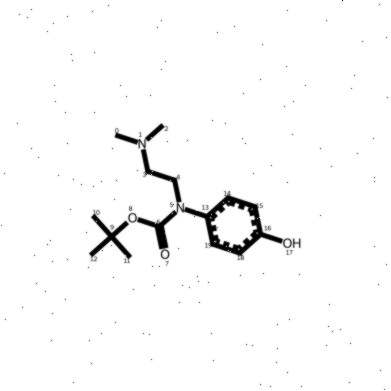 CN(C)CCN(C(=O)OC(C)(C)C)c1ccc(O)cc1